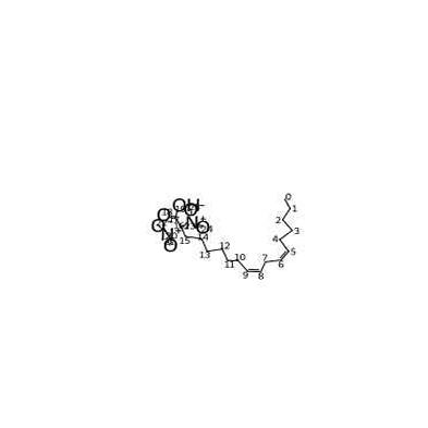 CCCCC/C=C\C/C=C\CCCCCCC(C(=O)O)([N+](=O)[O-])[N+](=O)[O-]